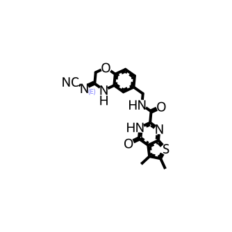 Cc1sc2nc(C(=O)NCc3ccc4c(c3)N/C(=N/C#N)CO4)[nH]c(=O)c2c1C